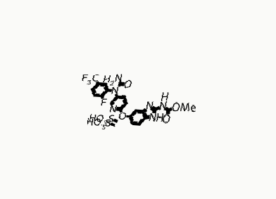 COC(=O)Nc1nc2cc(Oc3ccc(N(C(N)=O)c4cc(C(F)(F)F)ccc4F)cn3)ccc2[nH]1.CS(=O)(=O)O.CS(=O)(=O)O